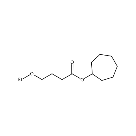 CCOCCCC(=O)OC1CCCCCC1